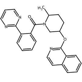 CC1CCC(Oc2nccc3ccccc23)CN1C(=O)c1ccccc1-c1ncccn1